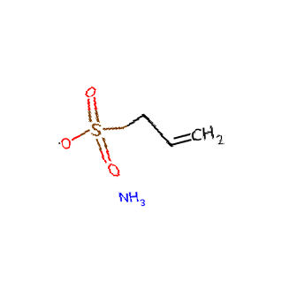 C=CCS([O])(=O)=O.N